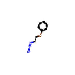 [N-]=[N+]=NCCSc1ccccc1